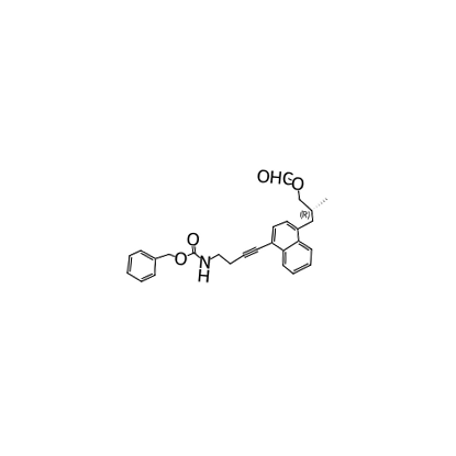 C[C@@H](COC=O)Cc1ccc(C#CCCNC(=O)OCc2ccccc2)c2ccccc12